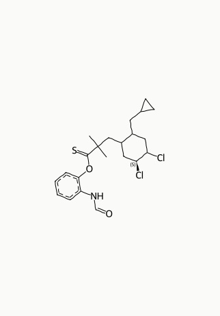 CC(C)(CC1C[C@H](Cl)C(Cl)CC1CC1CC1)C(=S)Oc1ccccc1NC=O